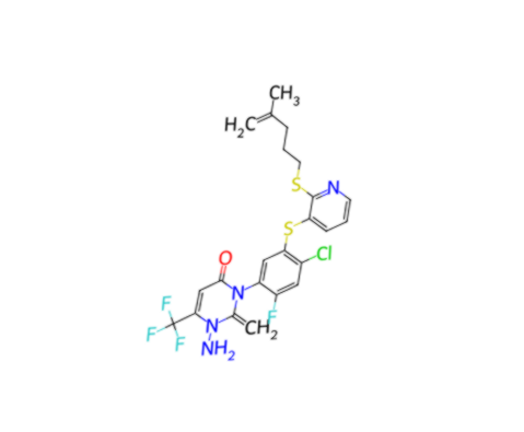 C=C(C)CCCSc1ncccc1Sc1cc(N2C(=C)N(N)C(C(F)(F)F)=CC2=O)c(F)cc1Cl